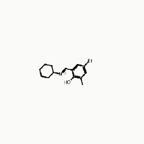 CCc1cc(C)c(O)c(/C=N/C2CCCCC2)c1